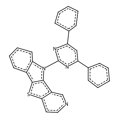 c1ccc(-c2cc(-c3ccccc3)nc(-n3c4ccccc4c4sc5ccncc5c43)n2)cc1